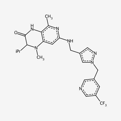 Cc1nc(NCc2cnn(Cc3cncc(C(F)(F)F)c3)c2)cc2c1NC(=O)C(C(C)C)N2C